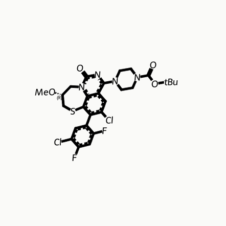 CO[C@H]1CSc2c(-c3cc(Cl)c(F)cc3F)c(Cl)cc3c(N4CCN(C(=O)OC(C)(C)C)CC4)nc(=O)n(c23)C1